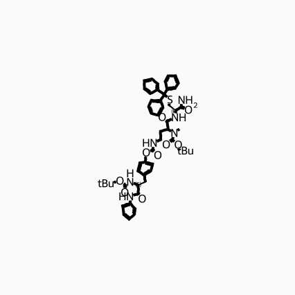 CN(C(=O)OC(C)(C)C)C(CCNC(=O)Oc1ccc(C[C@H](NC(=O)OC(C)(C)C)C(=O)Nc2ccccc2)cc1)C(=O)N[C@@H](CSC(c1ccccc1)(c1ccccc1)c1ccccc1)C(N)=O